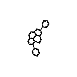 c1ccc(-c2cc3ccc4ccc(-c5ccccc5)c5ccc(c2)c3c45)cc1